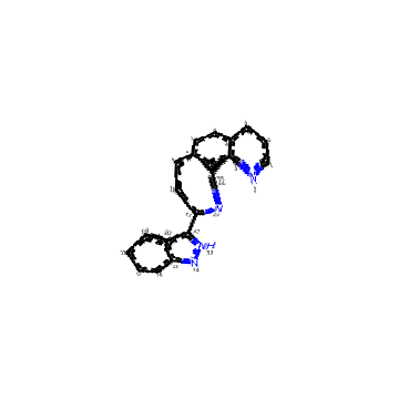 c1cnc2c(c1)ccc1ccc(-c3[nH]nc4ccccc34)nc12